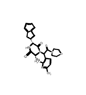 CCC(C)[C@@H]1C(=O)N[C@H](C2Cc3ccccc3C2)C(=O)N1C(C(=O)N1CCOCC1)c1ccc(C)nc1C